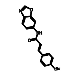 CC(C)(C)c1ccc(C=CC(=O)Nc2ccc3ncoc3c2)cc1